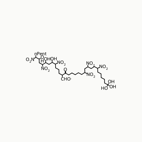 CCCCCC(C(O)CC(C(O)CC(O)C(CCCC([C]=O)C(=O)CCCCCC(CC(CCC(CCCCCC(O)(O)O)[N+](=O)[O-])[N+](=O)[O-])[N+](=O)[O-])[N+](=O)[O-])[N+](=O)[O-])[N+](=O)[O-]